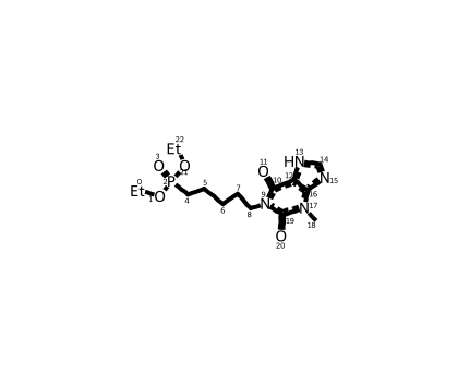 CCOP(=O)(CCCCCn1c(=O)c2[nH]cnc2n(C)c1=O)OCC